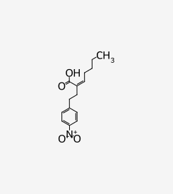 CCCCC=C(CCc1ccc([N+](=O)[O-])cc1)C(=O)O